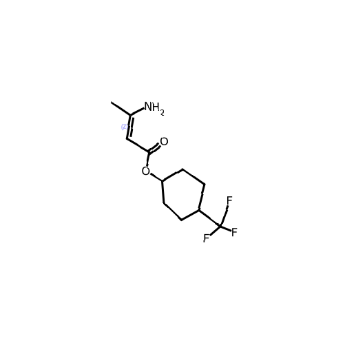 C/C(N)=C/C(=O)OC1CCC(C(F)(F)F)CC1